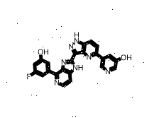 Oc1cncc(-c2ccc3[nH]nc(-c4nc5c(-c6cc(O)cc(F)c6)nccc5[nH]4)c3n2)c1